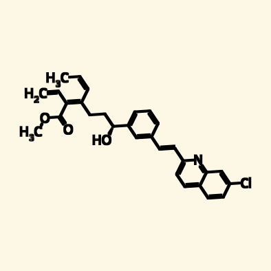 C=C/C(C(=O)OC)=C(\C=C/C)CC[C@H](O)c1cccc(/C=C/c2ccc3ccc(Cl)cc3n2)c1